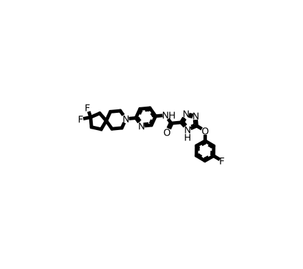 O=C(Nc1ccc(N2CCC3(CC2)CCC(F)(F)C3)nc1)c1nnc(Oc2cccc(F)c2)[nH]1